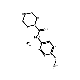 CCCOc1ccc(NC(=O)N2CCNCC2)cc1.Cl